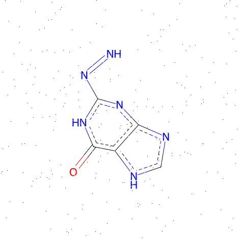 N=Nc1nc2nc[nH]c2c(=O)[nH]1